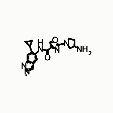 Cn1cc2cc(NC(=O)c3coc(N4CCC(N)C4)n3)c(C3CC3)cc2n1